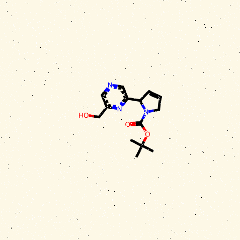 CC(C)(C)OC(=O)N1CC=CC1c1cncc(CO)n1